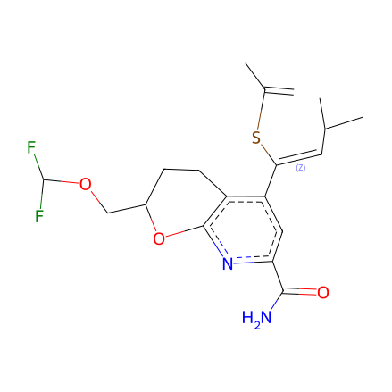 C=C(C)S/C(=C\C(C)C)c1cc(C(N)=O)nc2c1CCC(COC(F)F)O2